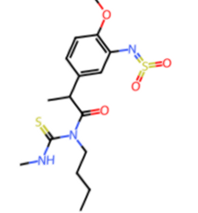 CCCCN(C(=O)C(C)c1ccc(OC)c(N=S(=O)=O)c1)C(=S)NC